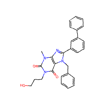 Cn1c(=O)n(CCCO)c(=O)c2c1nc(-c1cccc(-c3ccccc3)c1)n2Cc1ccccc1